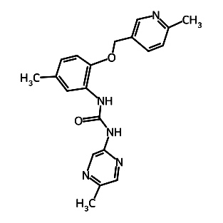 Cc1ccc(OCc2ccc(C)nc2)c(NC(=O)Nc2cnc(C)cn2)c1